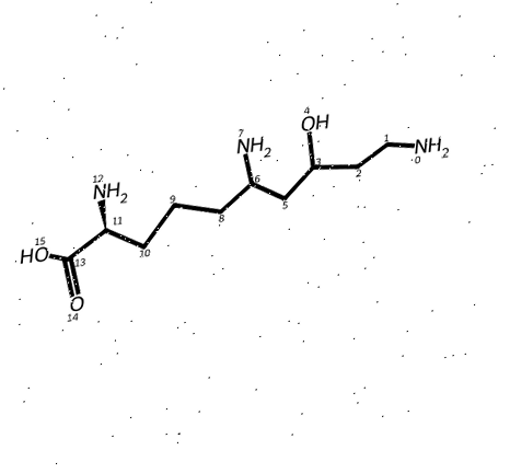 NCCC(O)CC(N)CCC[C@H](N)C(=O)O